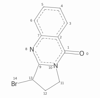 O=c1c2ccccc2nc2n1CCC2Br